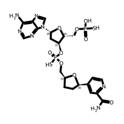 NC(=O)c1cc([C@H]2CC[C@@H](COP(=O)(S)O[C@H]3C[C@H](n4cnc5c(N)ncnc54)O[C@@H]3COP(=O)(O)S)O2)ccn1